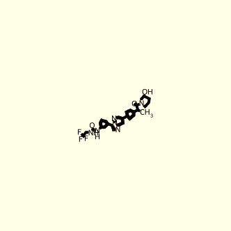 CC(C(=O)N1CCCC(O)C1)c1ccc(-c2cnn3c(-c4cccc(NC(=O)NCC(F)(F)F)c4)cnc3c2)cc1